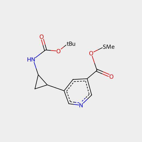 CSOC(=O)c1cncc(C2CC2NC(=O)OC(C)(C)C)c1